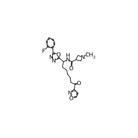 CN1CC(C(=O)NC(CCCCCC(=O)c2ccon2)c2nnc(-c3ccccc3F)o2)C1